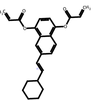 C=CC(=O)Oc1ccc(OC(=O)C=C)c2cc(/C=C/C3CCCCC3)ccc12